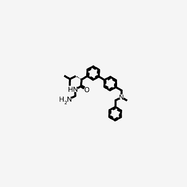 CC(C)C[C@@H](C(=O)NCN)c1cccc(-c2ccc(CN(C)Cc3ccccc3)cc2)c1